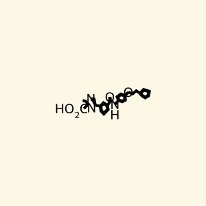 Cc1ncc(-c2cccc(C(=O)Nc3ccc(OCCc4ccccc4)cc3)c2)nc1C(=O)O